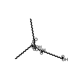 CCCCCCCCCCCCCCCC(=O)OCC(COP(=O)(O)OCCNC(=O)CCCCCCCCCCCCCCC(=O)O)OC(=O)CCCCCCCCCCCCCCC